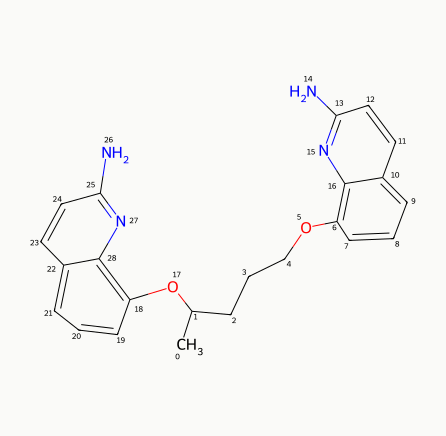 CC(CCCOc1cccc2ccc(N)nc12)Oc1cccc2ccc(N)nc12